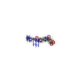 O=C(NCc1ccn2ccnc2c1)Nc1ccc(C2CCN(C(=O)C3CCS(=O)(=O)CC3)CC2)cc1